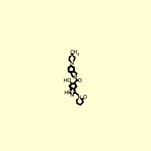 CN1CCN(c2ccc3c(c2)CN(C(=O)c2cc4c(CN5CCCCC5=O)n[nH]c4cc2O)C3)CC1